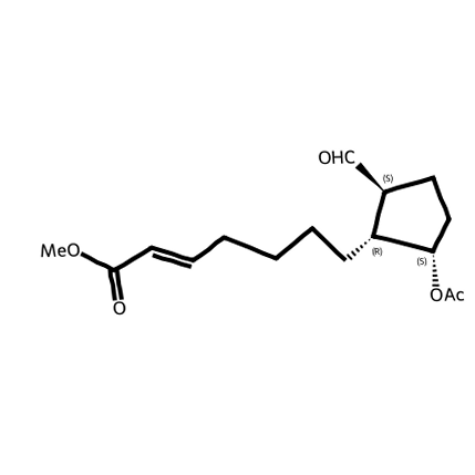 COC(=O)C=CCCCC[C@H]1[C@@H](OC(C)=O)CC[C@@H]1C=O